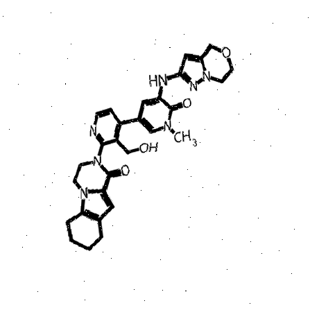 Cn1cc(-c2ccnc(N3CCn4c(cc5c4CCCC5)C3=O)c2CO)cc(Nc2cc3n(n2)CCOC3)c1=O